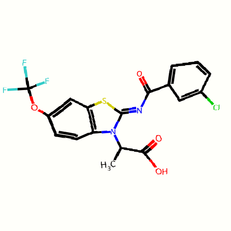 CC(C(=O)O)n1c(=NC(=O)c2cccc(Cl)c2)sc2cc(OC(F)(F)F)ccc21